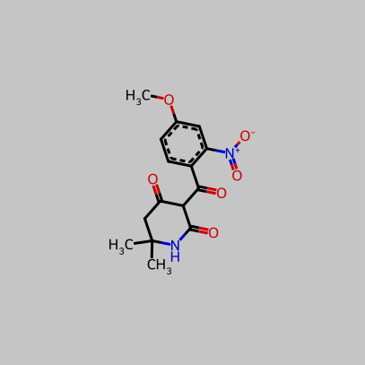 COc1ccc(C(=O)C2C(=O)CC(C)(C)NC2=O)c([N+](=O)[O-])c1